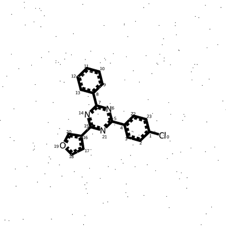 Clc1ccc(-c2nc(-c3ccccc3)nc(-c3ccoc3)n2)cc1